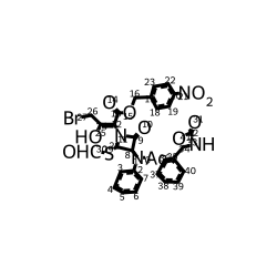 CC(=O)N(c1ccccc1)C1C(=O)N(C(C(=O)OCc2ccc([N+](=O)[O-])cc2)=C(O)CBr)C1SC=O.O=C1NC(c2ccccc2)O1